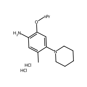 CCCOc1cc(N2CCCCC2)c(C)cc1N.Cl.Cl